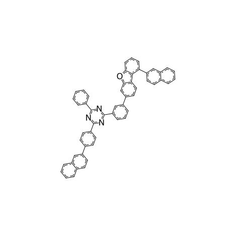 c1ccc(-c2nc(-c3ccc(-c4ccc5ccccc5c4)cc3)nc(-c3cccc(-c4ccc5c(c4)oc4cccc(-c6ccc7ccccc7c6)c45)c3)n2)cc1